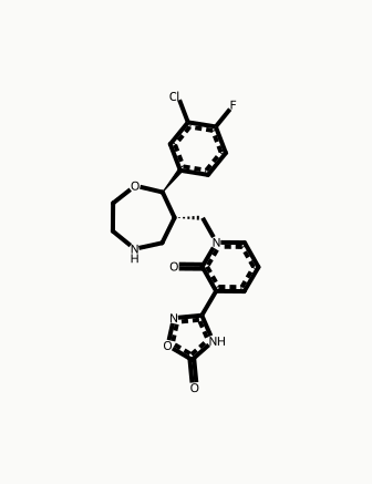 O=c1[nH]c(-c2cccn(C[C@@H]3CNCCO[C@H]3c3ccc(F)c(Cl)c3)c2=O)no1